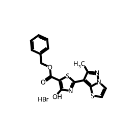 Br.Cc1nn2ccsc2c1-c1nc(O)c(C(=O)OCc2ccccc2)s1